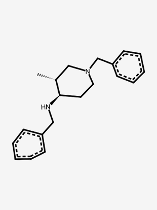 C[C@@H]1CN(Cc2ccccc2)CC[C@H]1NCc1ccccc1